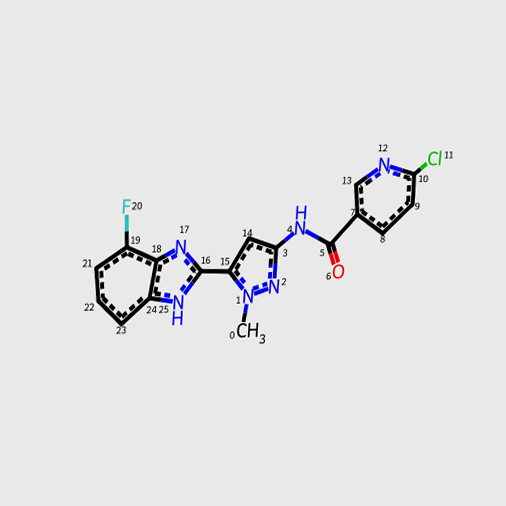 Cn1nc(NC(=O)c2ccc(Cl)nc2)cc1-c1nc2c(F)cccc2[nH]1